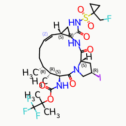 C[C@@H]1[C@H](C)CC/C=C\[C@@H]2C[C@@]2(C(=O)NS(=O)(=O)C2(CF)CC2)NC(=O)[C@@H]2C[C@@H](I)CN2C(=O)[C@H]1NC(=O)OC(C)(C)C(F)(F)F